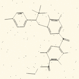 CCOC(=O)c1c(F)cc(C(=O)c2cc(Br)c3c(c2)CC(c2ccc(C)cc2)C(C)(C)O3)c(N)c1F